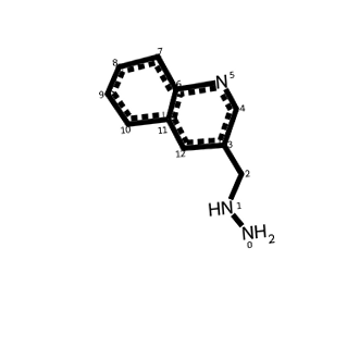 NNCc1cnc2ccccc2c1